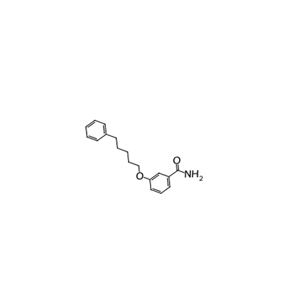 NC(=O)c1cccc(OCCCCCc2ccccc2)c1